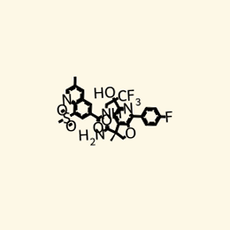 Cc1cnc2c(S(C)(=O)=O)cc(C(=O)NCC(O)(c3cc4c(c(-c5ccc(F)cc5)n3)OC[C@]4(C)C(N)=O)C(F)(F)F)cc2c1